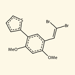 COc1cc(OC)c(-c2cccs2)cc1C=C(Br)Br